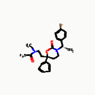 CC(=O)N(C)CC[C@]1(c2ccccc2)CCN([C@@H](C)c2ccc(Br)cc2)C(=O)O1